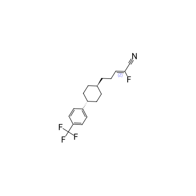 N#C/C(F)=C/CC[C@H]1CC[C@H](c2ccc(C(F)(F)F)cc2)CC1